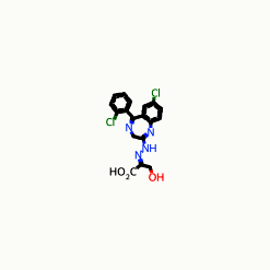 O=C(O)C(CO)=NNC1=Nc2ccc(Cl)cc2C(c2ccccc2Cl)=NC1